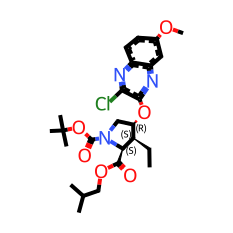 CC[C@@H]1[C@@H](Oc2nc3cc(OC)ccc3nc2Cl)CN(C(=O)OC(C)(C)C)[C@@H]1C(=O)OCC(C)C